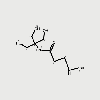 CCCCNCCC(=O)NC(CO)(CO)CO